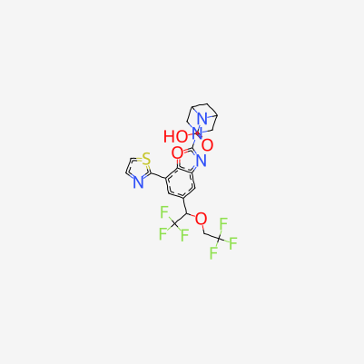 O=C(O)N1C2CC1CN(c1nc3cc(C(OCC(F)(F)F)C(F)(F)F)cc(-c4nccs4)c3o1)C2